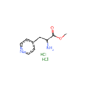 COC(=O)C(N)Cc1ccncc1.Cl.Cl